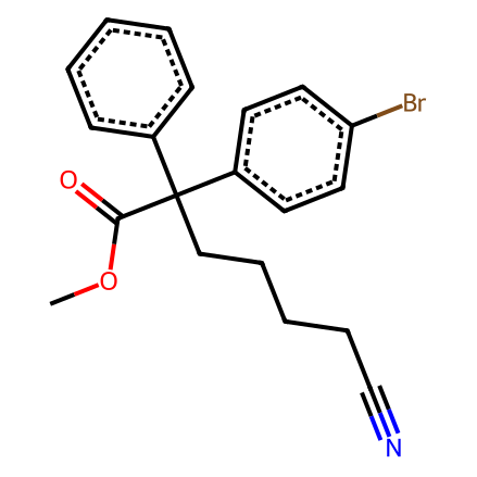 COC(=O)C(CCCCC#N)(c1ccccc1)c1ccc(Br)cc1